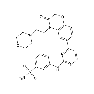 NS(=O)(=O)c1cccc(Nc2nccc(-c3ccc4c(c3)N(CCN3CCOCC3)C(=O)CO4)n2)c1